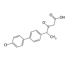 CC(c1ccc(-c2ccc(Cl)cc2)cc1)[S+]([O-])CC(=O)O